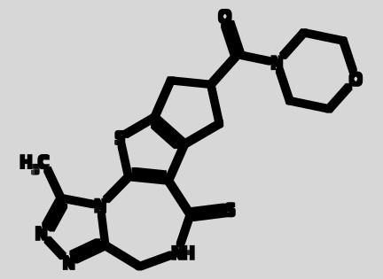 Cc1nnc2n1-c1sc3c(c1C(=S)NC2)CC(C(=O)N1CCOCC1)C3